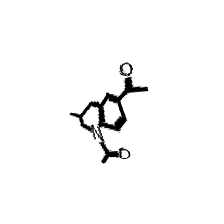 CC(=O)c1ccc2c(c1)CC(C)CN2C(C)=O